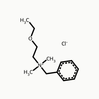 CCOCC[N+](C)(C)Cc1ccccc1.[Cl-]